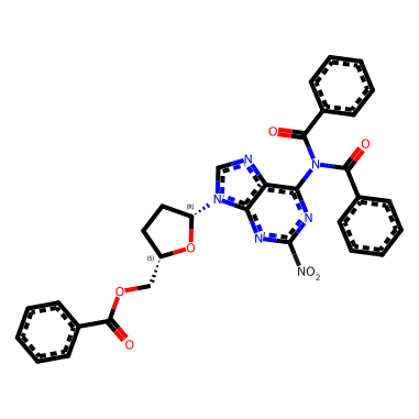 O=C(OC[C@@H]1CC[C@H](n2cnc3c(N(C(=O)c4ccccc4)C(=O)c4ccccc4)nc([N+](=O)[O-])nc32)O1)c1ccccc1